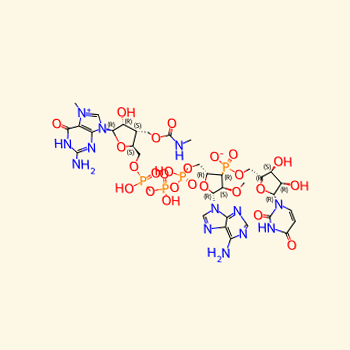 CNC(=O)OC[C@H]1[C@@H](O)[C@H](n2c[n+](C)c3c(=O)[nH]c(N)nc32)O[C@@H]1COP(=O)(O)OP(=O)(O)OP(=O)(O)OC[C@H]1O[C@@H](n2cnc3c(N)ncnc32)[C@H](OC)[C@@H]1P(=O)([O-])OC[C@H]1O[C@@H](n2ccc(=O)[nH]c2=O)[C@H](O)[C@@H]1O